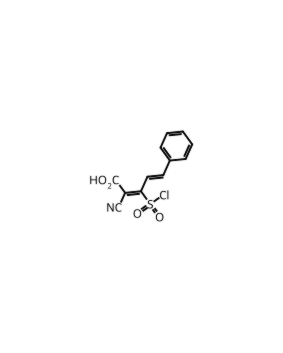 N#CC(C(=O)O)=C(C=Cc1ccccc1)S(=O)(=O)Cl